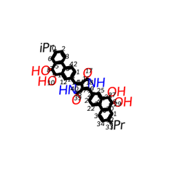 CC(C)c1ccc2c(c1)C(O)C(O)c1cc(C3=C4C(=O)NC(c5ccc6c(c5)C(O)C(O)c5cc(C(C)C)ccc5-6)=C4C(=O)N3)ccc1-2